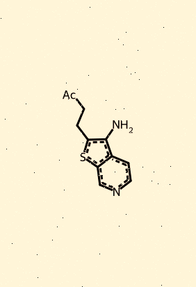 CC(=O)CCc1sc2cnccc2c1N